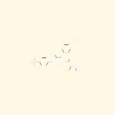 COc1ccc(C(C(=O)Nc2ccc([Si](C)(C)C)cc2)N(C)C(=O)c2nc(O)oc2C)cc1